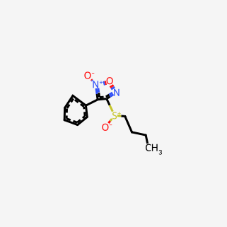 CCCC[S+]([O-])c1no[n+]([O-])c1-c1ccccc1